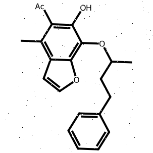 CC(=O)c1c(O)c(OC(C)CCc2ccccc2)c2occc2c1C